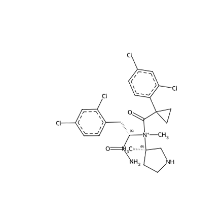 C[C@@]1([N+](C)(C(=O)C2(c3ccc(Cl)cc3Cl)CC2)[C@@H](Cc2ccc(Cl)cc2Cl)C(N)=O)CCNC1